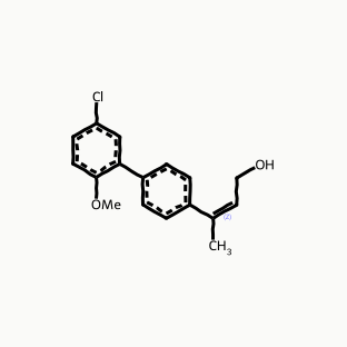 COc1ccc(Cl)cc1-c1ccc(/C(C)=C\CO)cc1